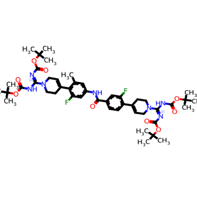 Cc1cc(NC(=O)c2ccc(C3=CCN(/C(=N\C(=O)OC(C)(C)C)NC(=O)OC(C)(C)C)CC3)c(F)c2)cc(F)c1C1=CCN(/C(=N\C(=O)OC(C)(C)C)NC(=O)OC(C)(C)C)CC1